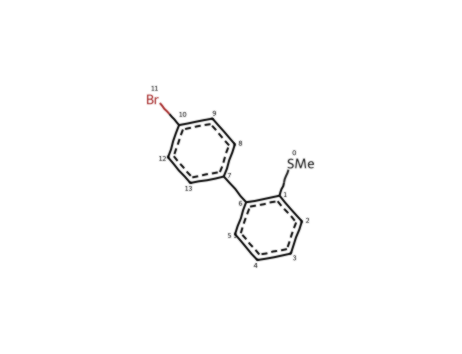 CSc1ccc[c]c1-c1ccc(Br)cc1